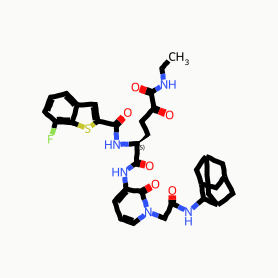 CCNC(=O)C(=O)CC[C@H](NC(=O)c1cc2cccc(F)c2s1)C(=O)Nc1cccn(CC(=O)NC2C3CC4CC(C3)CC2C4)c1=O